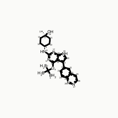 BC(B)(B)Oc1nc(N[C@H]2CC[C@](C)(O)CC2)nc2[nH]cc(-c3ccc4nnccc4c3)c12